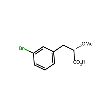 CO[C@@H](Cc1cccc(Br)c1)C(=O)O